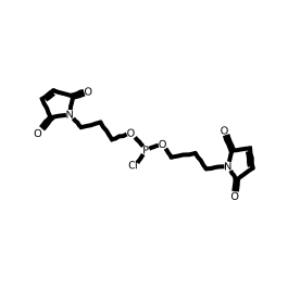 O=C1C=CC(=O)N1CCCOP(Cl)OCCCN1C(=O)C=CC1=O